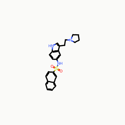 O=S(=O)(Nc1ccc2[nH]cc(CCN3CCCC3)c2c1)c1ccc2ccccc2c1